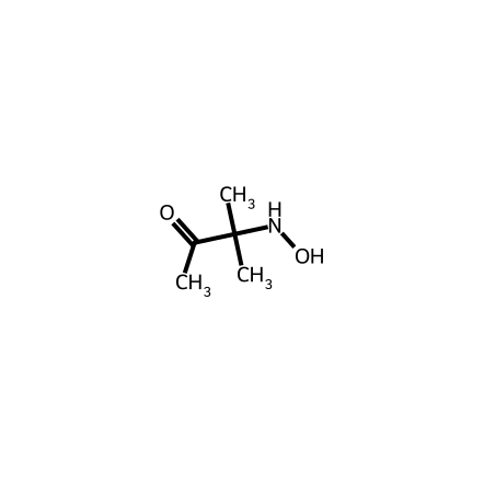 CC(=O)C(C)(C)NO